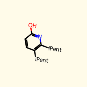 CCCC(C)c1ccc(O)nc1C(C)CCC